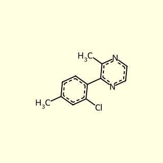 Cc1ccc(-c2nccnc2C)c(Cl)c1